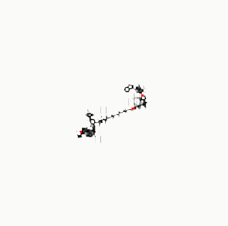 Cc1ncsc1-c1ccc(CNC(=O)[C@@H]2C[C@@H](O)CN2C(=O)C(NC(=O)C2(F)CC2)C(C)(C)C)c(OCC(=O)NCCOCCOCCOCCOCCC(=O)NCCN(C)C(=O)c2ccc(-c3cc(C(=O)N[C@@H]4CCc5ccccc54)no3)cc2O)c1